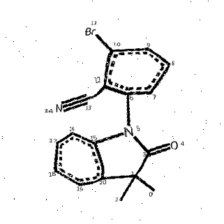 CC1(C)C(=O)N(c2cccc(Br)c2C#N)c2ccccc21